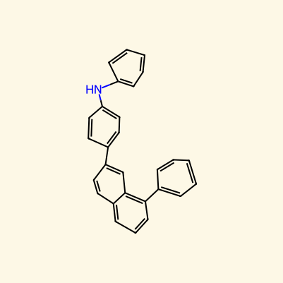 c1ccc(Nc2ccc(-c3ccc4cccc(-c5ccccc5)c4c3)cc2)cc1